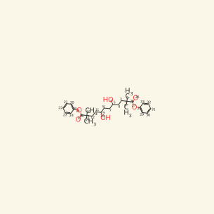 CC(C)(CCC(O)CCC(O)CCC(C)(C)C(=O)Oc1ccccc1)C(=O)Oc1ccccc1